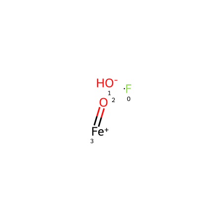 [F].[OH-].[O]=[Fe+]